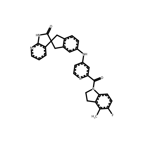 Cc1c(F)ccc2c1CCN2C(=O)c1cc(Nc2ccc3c(c2)CC2(C3)C(=O)Nc3ncccc32)ccn1